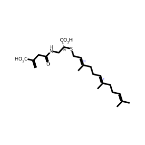 C=C(CC(=O)NC[C@@H](SC/C=C(\C)CC/C=C(\C)CCC=C(C)C)C(=O)O)C(=O)O